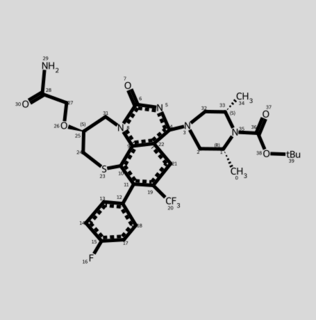 C[C@@H]1CN(c2nc(=O)n3c4c(c(-c5ccc(F)cc5)c(C(F)(F)F)cc24)SC[C@@H](OCC(N)=O)C3)C[C@H](C)N1C(=O)OC(C)(C)C